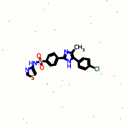 Cc1nc(-c2ccc(S(=O)(=O)Nc3cscn3)cc2)[nH]c1-c1ccc(Cl)cc1